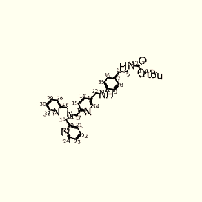 CC(C)(C)OC(=O)NCCc1ccc(NCc2ccc(CN(Cc3ccccn3)Cc3ccccn3)nc2)cc1